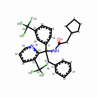 O=C(CC1CCCC1)NC(Cc1ccccc1)(c1cccc(C(F)(F)F)c1)c1ncccc1C(F)(F)F